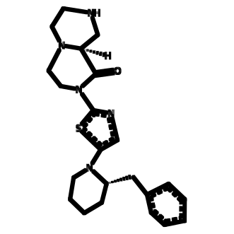 O=C1[C@@H]2CNCCN2CCN1c1ncc(N2CCCC[C@H]2Cc2ccccc2)s1